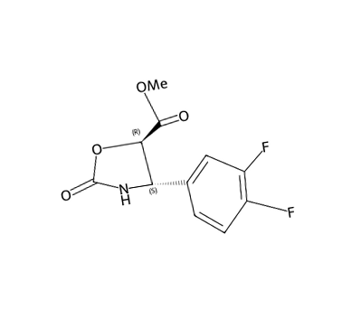 COC(=O)[C@@H]1OC(=O)N[C@H]1c1ccc(F)c(F)c1